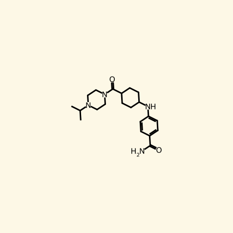 CC(C)N1CCN(C(=O)C2CCC(Nc3ccc(C(N)=O)cc3)CC2)CC1